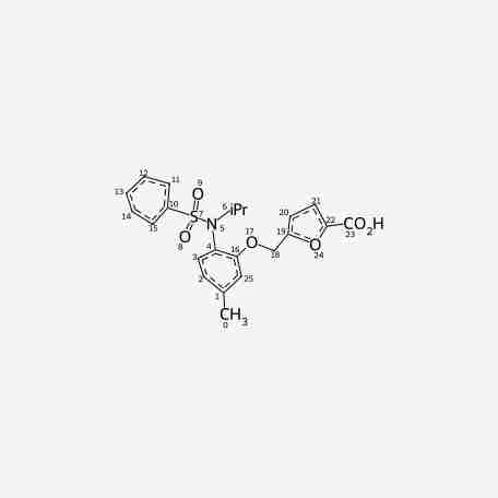 Cc1ccc(N(C(C)C)S(=O)(=O)c2ccccc2)c(OCc2ccc(C(=O)O)o2)c1